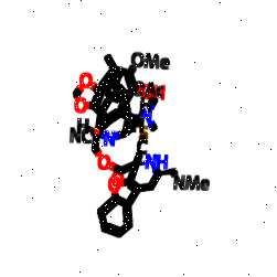 CNC[C@H]1Cc2c(oc3ccccc23)[C@@]2(CS[C@@H]3c4c(OC(C)=O)c(C)c5c(c4[C@H](COC2=O)N2[C@@H]3[C@@H](N(C)C)c3c(cc(C)c(OC)c3O)C[C@@H]2C#N)OCO5)N1